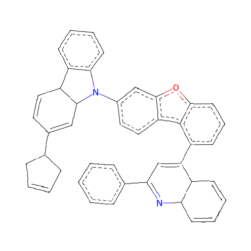 C1=CC2N=C(c3ccccc3)C=C(c3cccc4oc5cc(N6c7ccccc7C7C=CC(C8CC=CC8)=CC76)ccc5c34)C2C=C1